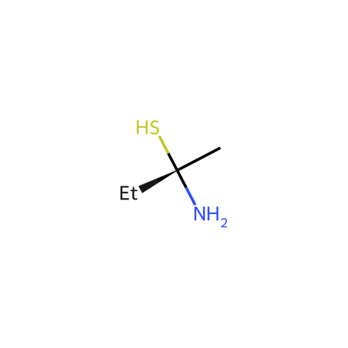 CC[C@@](C)(N)S